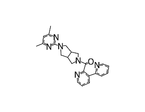 Cc1cc(C)nc(N2CC3CN(C(=O)c4ncccc4-c4ccccn4)CC3C2)n1